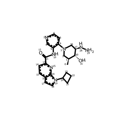 C[C@H]1CN(c2ccncc2NC(=O)c2ccc3ccn(C4CCC4)c3n2)C[C@@H](NN)[C@@H]1O